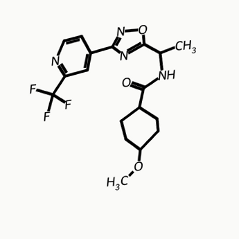 COC1CCC(C(=O)NC(C)c2nc(-c3ccnc(C(F)(F)F)c3)no2)CC1